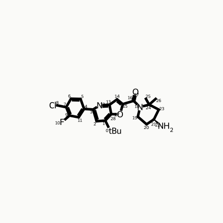 CC(C)(C)c1cc(-c2ccc(Cl)c(F)c2)nc2cc(C(=O)N3CC[C@H](N)CC3(C)C)oc12